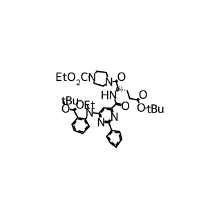 CCOC(=O)N1CCN(C(=O)[C@H](CCC(=O)OC(C)(C)C)NC(=O)c2cc(N(CC)c3ccccc3C(=O)OC(C)(C)C)nc(-c3ccccc3)n2)CC1